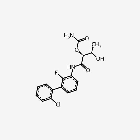 C[C@@H](O)[C@H](OC(N)=O)C(=O)Nc1cccc(-c2ccccc2Cl)c1F